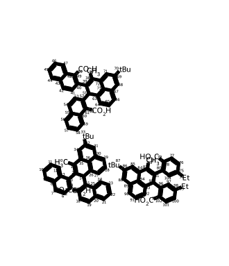 CC1=C(c2c(C(=O)O)ccc3ccccc23)C(c2c(C(=O)O)ccc3ccccc23)c2cccc3cc(C(C)(C)C)cc1c23.CC1=C(c2ccc3ccccc3c2C(=O)O)C(c2ccc3ccccc3c2C(=O)O)c2cccc3cc(C(C)(C)C)cc1c23.CCc1ccc(C(=O)O)c(C2=C(C)c3cc(C(C)(C)C)cc4cccc(c34)C2c2cc(CC)ccc2C(=O)O)c1